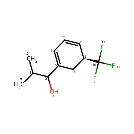 CC(C)C(O)C1=CC=C[C@@H](C(F)(F)F)C1